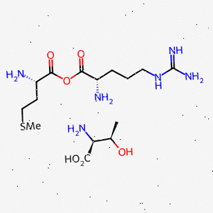 CSCC[C@H](N)C(=O)OC(=O)[C@@H](N)CCCNC(=N)N.C[C@@H](O)[C@H](N)C(=O)O